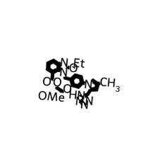 CCOc1nc2cccc(C(=O)OCC(=O)OC)c2n1Cc1ccc(-n2cc(C)cc2-c2nnn[nH]2)cc1